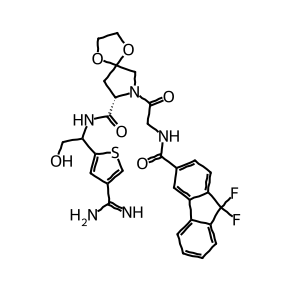 N=C(N)c1csc(C(CO)NC(=O)[C@@H]2CC3(CN2C(=O)CNC(=O)c2ccc4c(c2)-c2ccccc2C4(F)F)OCCO3)c1